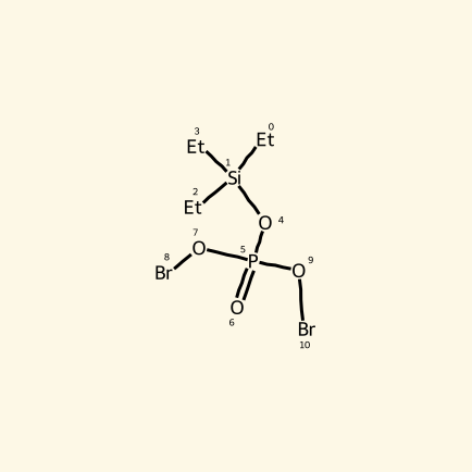 CC[Si](CC)(CC)OP(=O)(OBr)OBr